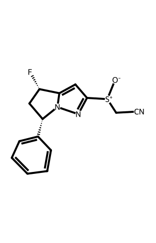 N#CC[S+]([O-])c1cc2n(n1)[C@H](c1ccccc1)C[C@@H]2F